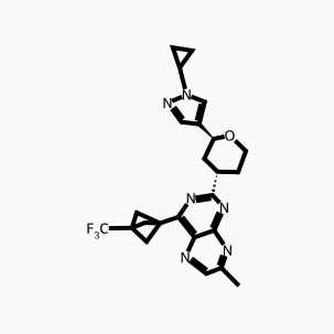 Cc1cnc2c(C34CC(C(F)(F)F)(C3)C4)nc([C@H]3CCO[C@H](c4cnn(C5CC5)c4)C3)nc2n1